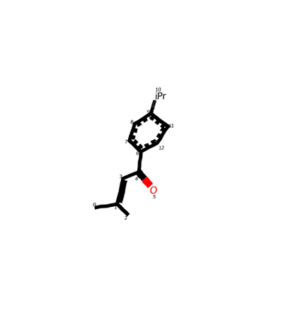 CC(C)=CC(=O)c1ccc(C(C)C)cc1